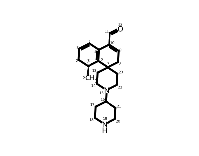 C[C@H]1CC=CC2=C1C1(CC=C2C=O)CCN(C2CCNCC2)CC1